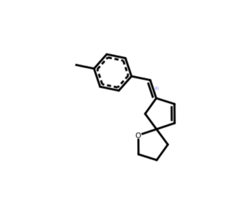 Cc1ccc(/C=C2/C=CC3(CCCO3)C2)cc1